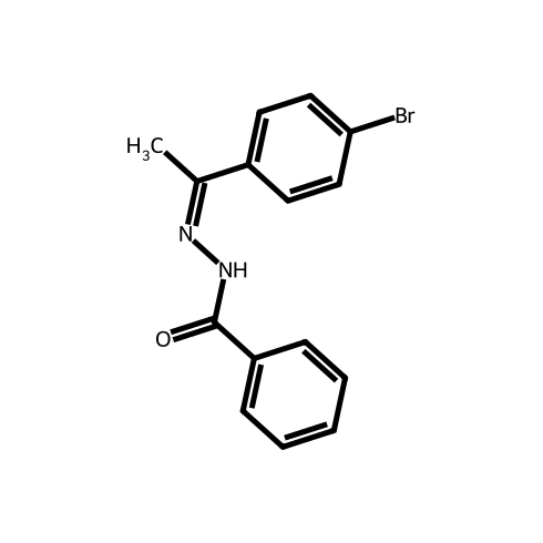 CC(=NNC(=O)c1ccccc1)c1ccc(Br)cc1